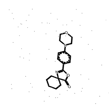 O=C1OC(c2ccc(N3CCOCC3)cc2)=NC12CCCCC2